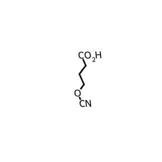 N#COCCCC(=O)O